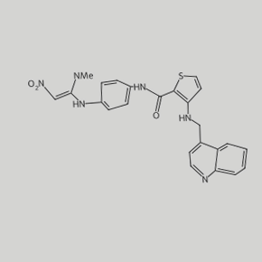 CN/C(=C\[N+](=O)[O-])Nc1ccc(NC(=O)c2sccc2NCc2ccnc3ccccc23)cc1